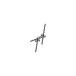 CCCCCCCCCCCCC(OC)=C(OC)C(CCCCCCCC)OCOCOC(CCCCCCCC)C(OC)=C(CCCCCCCCCCCC)OC